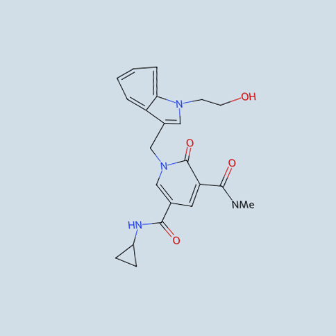 CNC(=O)c1cc(C(=O)NC2CC2)cn(Cc2cn(CCO)c3ccccc23)c1=O